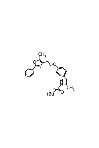 Cc1oc(-c2ccccc2)nc1CCOc1ccc(C[C@H](C)NC(=O)OC(C)(C)C)cc1